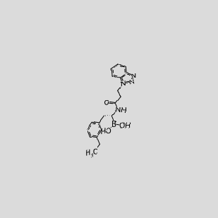 CCc1cccc(C[C@H](NC(=O)CCn2nnc3ccccc32)B(O)O)c1